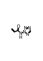 C=CC(=O)Nn1ncnn1